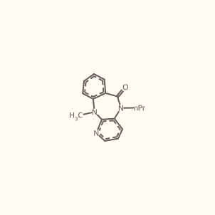 CCCN1C(=O)c2ccccc2N(C)c2ncccc21